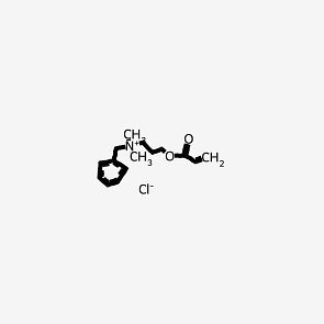 C=CC(=O)OCCC[N+](C)(C)Cc1ccccc1.[Cl-]